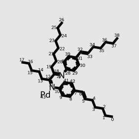 CCCCCC=Cc1ccc(N=C(CCCCC)C(CCCCCCCC)=Nc2ccc(C=CCCCCC)cc2)cc1.[Pd]